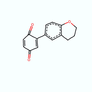 O=C1C=CC(=O)C(c2ccc3c(c2)CCCO3)=C1